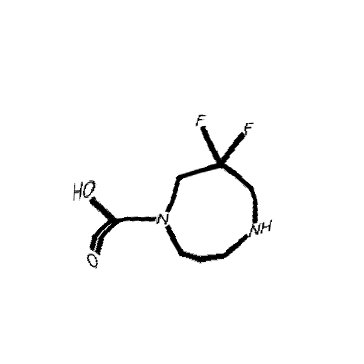 O=C(O)N1CCNCC(F)(F)C1